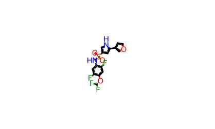 O=S(=O)(Nc1cc(F)c(OC(F)F)cc1F)c1c[nH]c(-c2ccoc2)c1